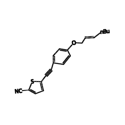 CCCC/C=C/COc1ccc(C#Cc2ccc(C#N)s2)cc1